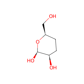 OC[C@H]1CC[C@@H](O)[C@@H](O)O1